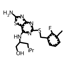 Cc1cccc(CSc2nc(NC(CO)CC(C)C)c3sc(N)nc3n2)c1F